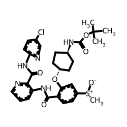 C[S+]([O-])c1ccc(C(=O)Nc2cccnc2C(=O)Nc2ccc(Cl)cn2)c(O[C@H]2CC[C@H](NC(=O)OC(C)(C)C)CC2)c1